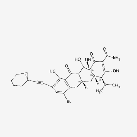 CCc1cc(C#CC2=CCCCC2)c(O)c2c1C[C@H]1C[C@H]3[C@H](N(C)C)C(O)=C(C(N)=O)C(=O)[C@@]3(O)C(O)C1C2=O